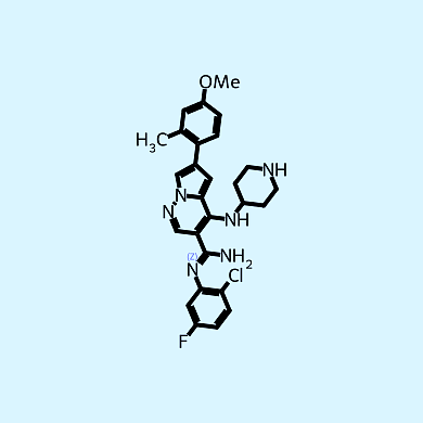 COc1ccc(-c2cc3c(NC4CCNCC4)c(/C(N)=N/c4cc(F)ccc4Cl)cnn3c2)c(C)c1